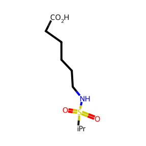 CC(C)S(=O)(=O)NCCCCCC(=O)O